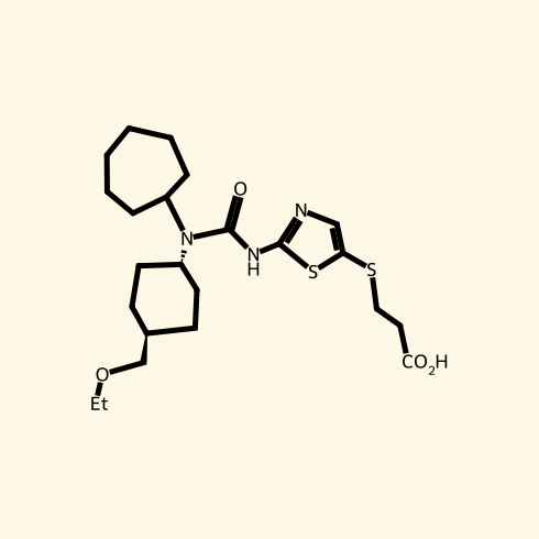 CCOC[C@H]1CC[C@H](N(C(=O)Nc2ncc(SCCC(=O)O)s2)C2CCCCCC2)CC1